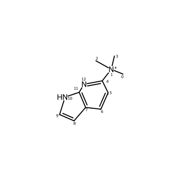 C[N+](C)(C)c1[c]cc2cc[nH]c2n1